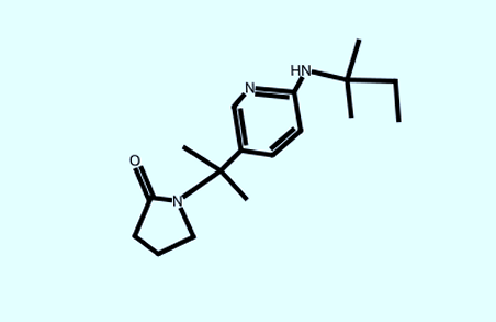 CCC(C)(C)Nc1ccc(C(C)(C)N2CCCC2=O)cn1